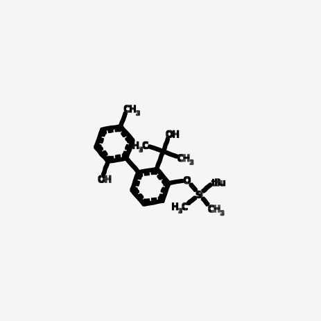 Cc1ccc(O)c(-c2cccc(O[Si](C)(C)C(C)(C)C)c2C(C)(C)O)c1